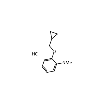 CNc1ccccc1OCC1CC1.Cl